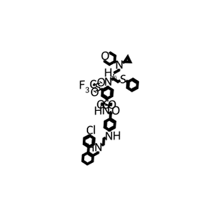 O=C(NS(=O)(=O)c1ccc(N[C@H](CCN(C2CCOCC2)C2CC2)CSc2ccccc2)c(S(=O)(=O)C(F)(F)F)c1)c1ccc(NCCNCC2=C(c3ccc(Cl)cc3)CCCC2)cc1